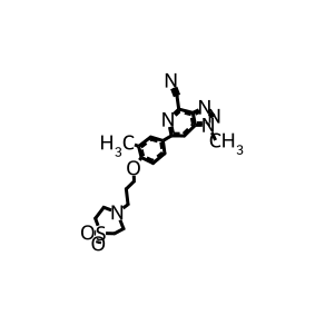 Cc1cc(-c2cc3c(nnn3C)c(C#N)n2)ccc1OCCCN1CCS(=O)(=O)CC1